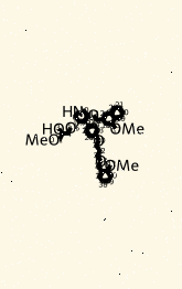 COCC(O)COC[C@@H]1CNC[C@H](OCc2cc(OC)c3ccccc3c2)[C@H]1c1ccc(OCCCOCc2ccccc2OC)cc1